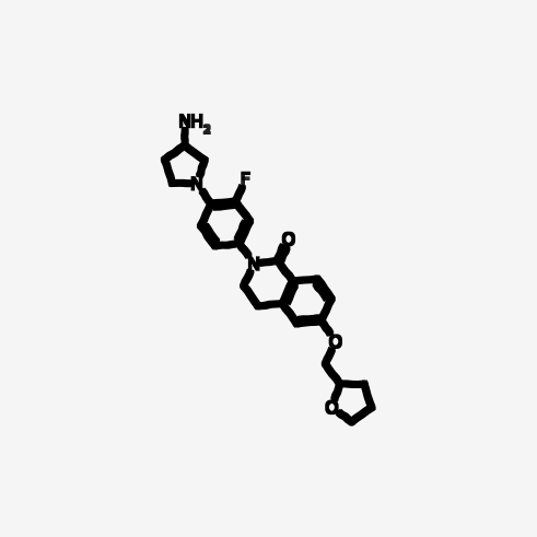 NC1CCN(c2ccc(N3CCc4cc(OCC5CCCO5)ccc4C3=O)cc2F)C1